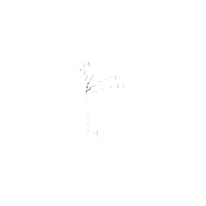 CCCCCCCCCCCCCCCC[PH](CCCCCCCC)(CCCCCCCC)CCCCCCCC